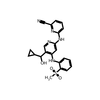 CS(=O)(=O)c1ccccc1Nc1cc(Nc2cccc(C#N)n2)ncc1C(O)C1CC1